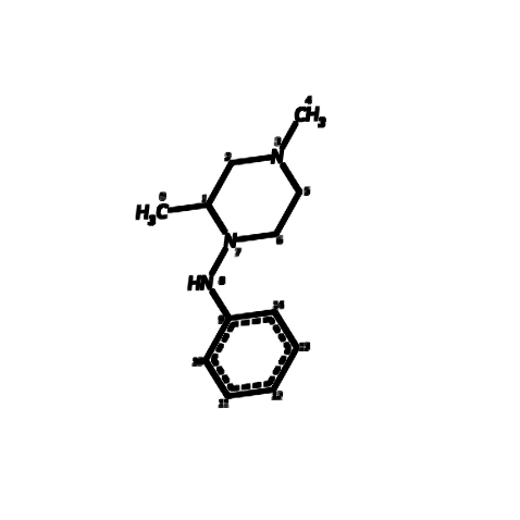 CC1CN(C)CCN1Nc1ccccc1